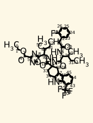 CCOC(=O)c1noc(C(NC(=O)[C@]2(NC(=O)[C@@H](NC(=O)Cc3ccccc3F)[C@@H](C)CC)CCc3[nH]c4c(C(F)(F)F)cccc4c3C2)C(C)CC)n1